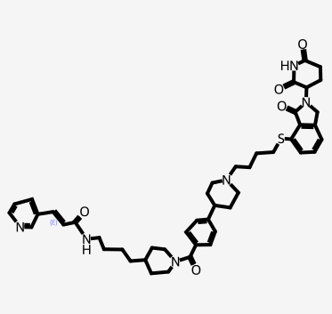 O=C(/C=C/c1cccnc1)NCCCCC1CCN(C(=O)c2ccc(C3CCN(CCCCSc4cccc5c4C(=O)N(C4CCC(=O)NC4=O)C5)CC3)cc2)CC1